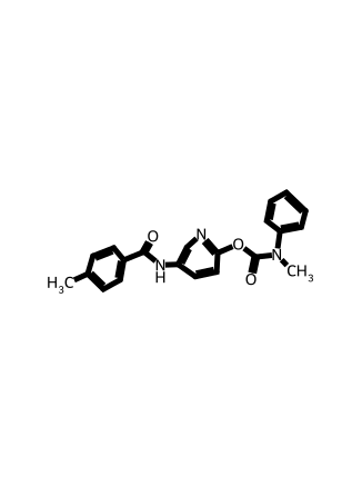 Cc1ccc(C(=O)Nc2ccc(OC(=O)N(C)c3ccccc3)nc2)cc1